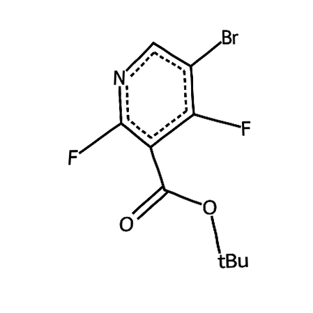 CC(C)(C)OC(=O)c1c(F)ncc(Br)c1F